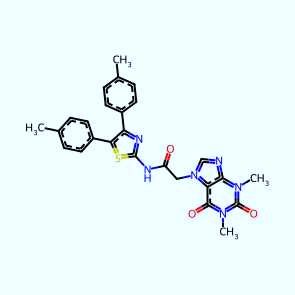 Cc1ccc(-c2nc(NC(=O)Cn3cnc4c3c(=O)n(C)c(=O)n4C)sc2-c2ccc(C)cc2)cc1